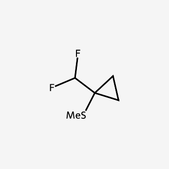 CSC1(C(F)F)CC1